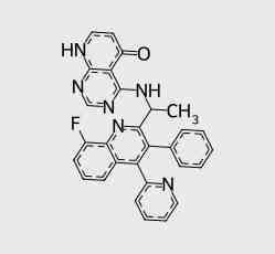 CC(Nc1ncnc2[nH]ccc(=O)c12)c1nc2c(F)cccc2c(-c2ccccn2)c1-c1ccccc1